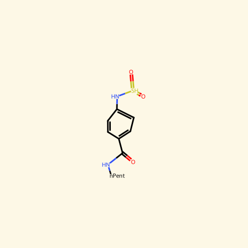 CCCCCNC(=O)c1ccc(N[SH](=O)=O)cc1